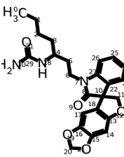 CCCCC(CCN1C(=O)C2(COc3cc4c(cc32)OCO4)c2ccccc21)NC(N)=O